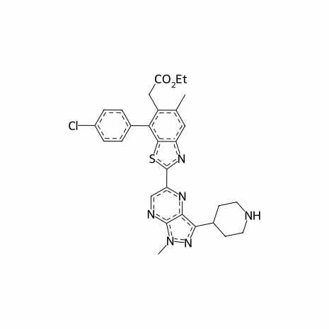 CCOC(=O)Cc1c(C)cc2nc(-c3cnc4c(n3)c(C3CCNCC3)nn4C)sc2c1-c1ccc(Cl)cc1